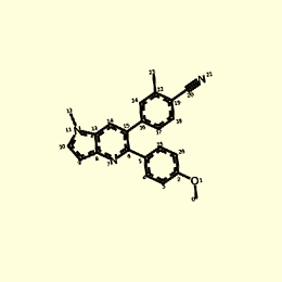 COc1ccc(-c2nc3ccn(C)c3cc2-c2ccc(C#N)c(C)c2)cc1